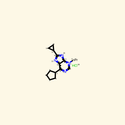 CCCn1cnc(C2CCCC2)c2nc(C3CC3)nc1-2.Cl